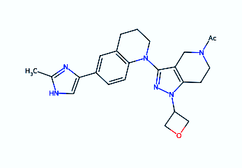 CC(=O)N1CCc2c(c(N3CCCc4cc(-c5c[nH]c(C)n5)ccc43)nn2C2COC2)C1